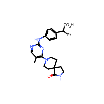 CCC(C(=O)O)c1ccc(Nc2ncc(C)c(N3CCC4(CCNC4=O)CC3)n2)cc1